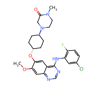 COc1cc2ncnc(Nc3cc(Cl)ccc3F)c2cc1O[C@H]1CC[C@H](N2CCN(C)C(=O)C2)CC1